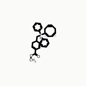 COC(=O)C1=CCC(C[PH](/C2=C/C=C\CC#CC2)(c2ccccc2)c2ccccc2)C=C1